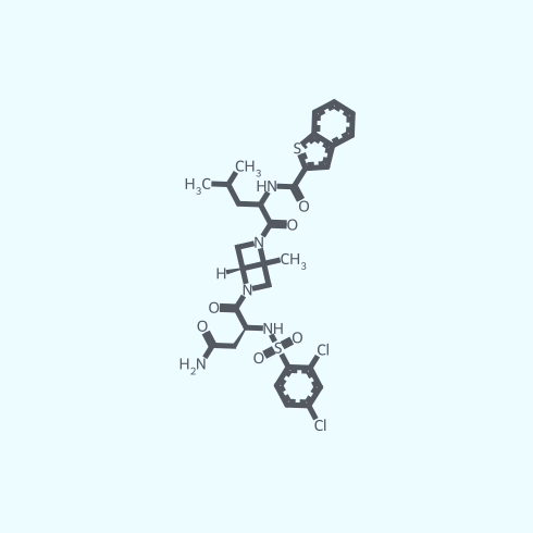 CC(C)CC(NC(=O)c1cc2ccccc2s1)C(=O)N1C[C@H]2N(C(=O)[C@H](CC(N)=O)NS(=O)(=O)c3ccc(Cl)cc3Cl)CC21C